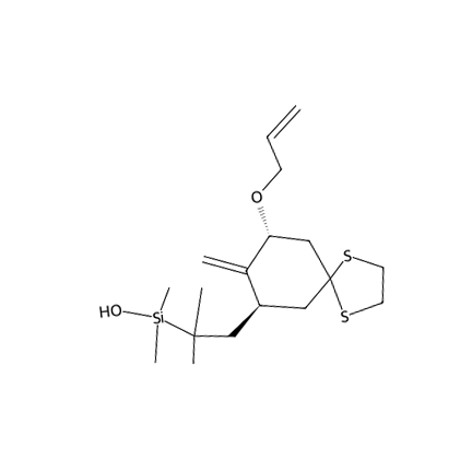 C=CCO[C@@H]1CC2(C[C@@H](CC(C)(C)[Si](C)(C)O)C1=C)SCCS2